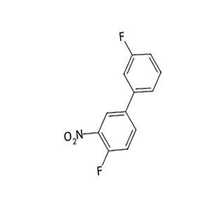 O=[N+]([O-])c1cc(-c2cccc(F)c2)ccc1F